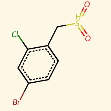 O=[SH](=O)Cc1ccc(Br)cc1Cl